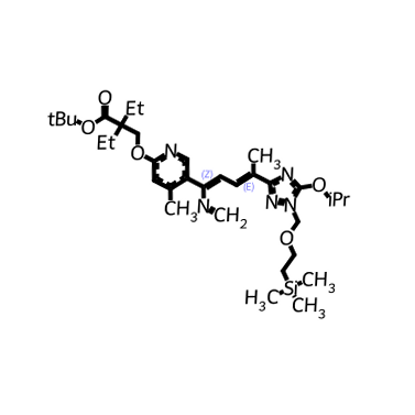 C=N/C(=C\C=C(/C)c1nc(OC(C)C)n(COCC[Si](C)(C)C)n1)c1cnc(OCC(CC)(CC)C(=O)OC(C)(C)C)cc1C